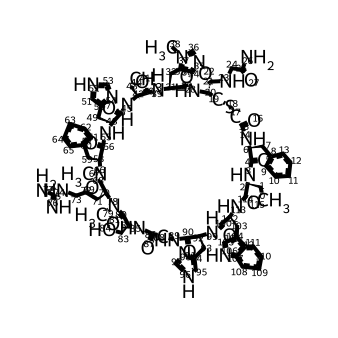 CC[C@@H]1NC(=O)[C@H](Cc2ccccc2)NC(=O)CSC[C@@H](C(=O)NCC(N)=O)NC(=O)[C@H](Cc2cncn2C)NC(=O)[C@H](CC)NC(=O)[C@H](Cc2c[nH]cn2)NC(=O)[C@H](Cc2ccccc2)N(C)C(=O)[C@H](CCCNC(=N)N)N(C)C(=O)[C@H](CO)NC(=O)CNC(=O)[C@H](Cc2c[nH]cn2)NC(=O)[C@H](Cc2c[nH]c3ccccc23)NC1=O